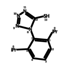 CC(C)c1cccc(C(C)C)c1-n1nnnc1S